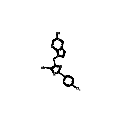 CCCc1nc(-c2ccc(C(F)(F)F)cc2)sc1Cn1ccc2cc(O)cnc21